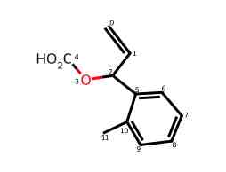 C=CC(OC(=O)O)c1ccccc1C